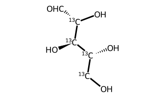 O=C[13C@H](O)[13C@H](O)[13C@H](O)[13CH2]O